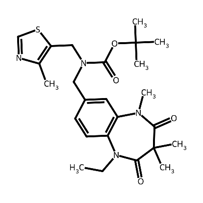 CCN1C(=O)C(C)(C)C(=O)N(C)c2cc(CN(Cc3scnc3C)C(=O)OC(C)(C)C)ccc21